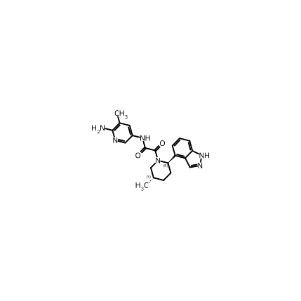 Cc1cc(NC(=O)C(=O)N2C[C@@H](C)CC[C@@H]2c2cccc3[nH]ncc23)cnc1N